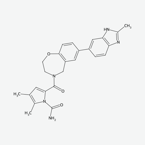 Cc1nc2ccc(-c3ccc4c(c3)CN(C(=O)c3cc(C)c(C)n3C(N)=O)CCO4)cc2[nH]1